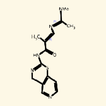 CN/C(C)=N/C=C(\C)C(=O)NC1=NCc2cnccc2S1